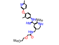 CNC1=C(C(=N)Nc2ccc(Oc3ccc(C)nc3)c(C)c2)C=C(CNC(=O)COCCOC)CCN1